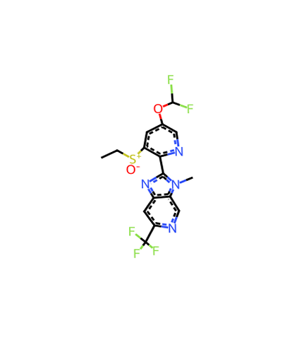 CC[S+]([O-])c1cc(OC(F)F)cnc1-c1nc2cc(C(F)(F)F)ncc2n1C